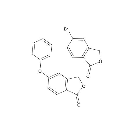 O=C1OCc2cc(Br)ccc21.O=C1OCc2cc(Oc3ccccc3)ccc21